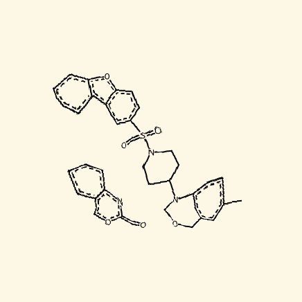 Cc1ccc2c(c1)COCN2C1CCN(S(=O)(=O)c2ccc3oc4ccccc4c3c2)CC1.O=c1nc2ccccc2co1